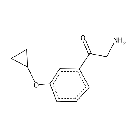 NCC(=O)c1cccc(OC2CC2)c1